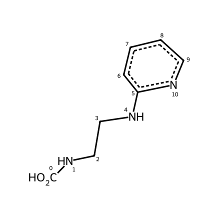 O=C(O)NCCNc1ccccn1